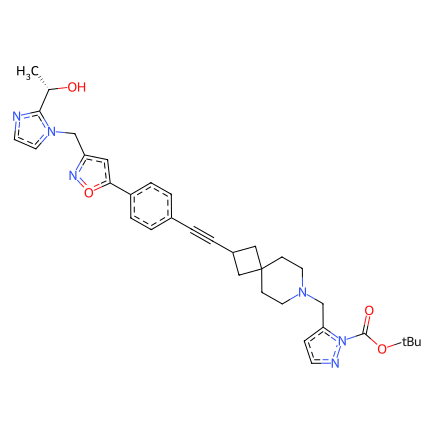 C[C@H](O)c1nccn1Cc1cc(-c2ccc(C#CC3CC4(CCN(Cc5ccnn5C(=O)OC(C)(C)C)CC4)C3)cc2)on1